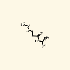 CCCC(CCC)NC(=O)CCSSCC